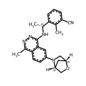 Cc1c(C#N)cccc1[C@@H](C)Nc1nnc(C)c2ccc(N3C[C@H]4C[C@@H]3CO4)cc12